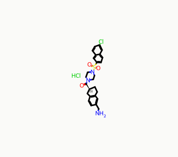 Cl.NCc1ccc2c(c1)CC[C@H](C(=O)N1CCN(S(=O)(=O)c3ccc4cc(Cl)ccc4c3)CC1)C2